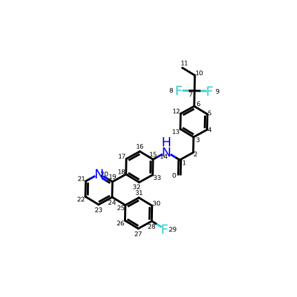 C=C(Cc1ccc(C(F)(F)CC)cc1)Nc1ccc(-c2ncccc2-c2ccc(F)cc2)cc1